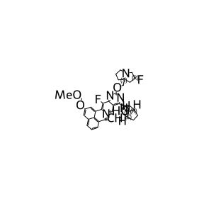 C#Cc1cccc2cc(OCOC)cc(-c3ncc4c(N5C[C@H]6CC[C@@H](C5)[C@H]6O)nc(OC[C@@]56CCCN5C[C@H](F)C6)nc4c3F)c12